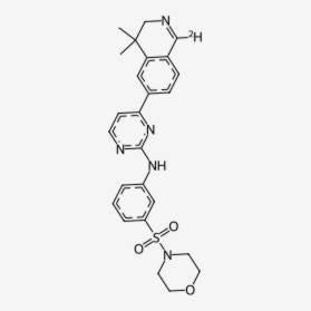 [2H]C1=NCC(C)(C)c2cc(-c3ccnc(Nc4cccc(S(=O)(=O)N5CCOCC5)c4)n3)ccc21